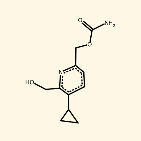 NC(=O)OCc1ccc(C2CC2)c(CO)n1